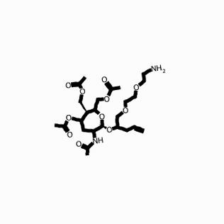 C=CCC(COCCOCCN)O[C@@H]1OC(COC(C)=O)[C@H](COC(C)=O)C(OC(C)=O)CC1NC(C)=O